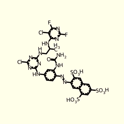 CC(CNc1nc(Cl)nc(Nc2ccc(N=Nc3cc4c(S(=O)(=O)O)cc(S(=O)(=O)O)cc4cc3S(=O)(=O)O)c(NC(N)=O)c2)n1)Nc1nc(F)nc(F)c1Cl